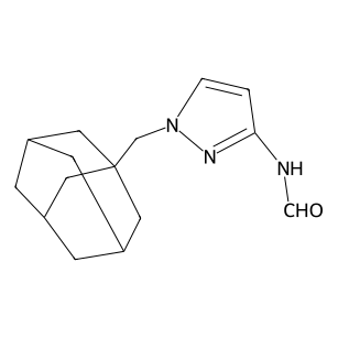 O=CNc1ccn(CC23CC4CC(CC(C4)C2)C3)n1